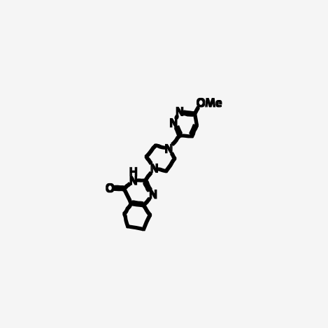 COc1ccc(N2CCN(c3nc4c(c(=O)[nH]3)CCCC4)CC2)nn1